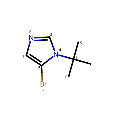 CC(C)(C)n1cncc1Br